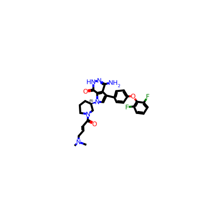 CN(C)CC=CC(=O)N1CCC[C@@H](n2cc(-c3ccc(Oc4c(F)cccc4F)cc3)c3c(N)n[nH]c(=O)c32)C1